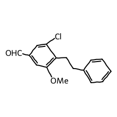 COc1cc(C=O)cc(Cl)c1CCc1ccccc1